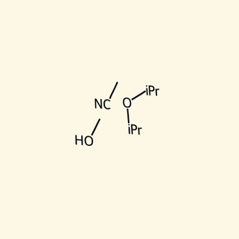 CC#N.CC(C)OC(C)C.CO